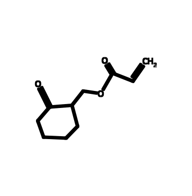 C=CC(=O)OCC1CCCCC1=O